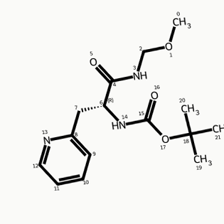 COCNC(=O)[C@@H](Cc1ccccn1)NC(=O)OC(C)(C)C